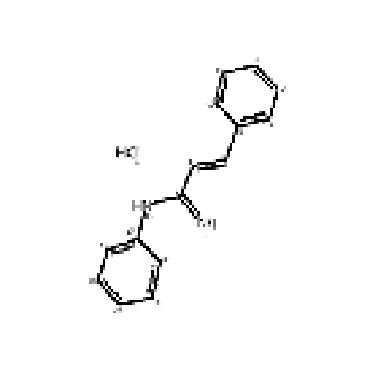 Cl.N=C(/C=C/c1ccccc1)Nc1ccccc1